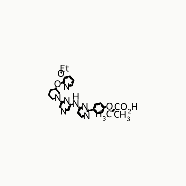 CCOc1cccnc1OC1CCCN(c2cncc(Nc3ccnc(-c4ccc(OC(C)(C)C(=O)O)cc4)n3)n2)C1